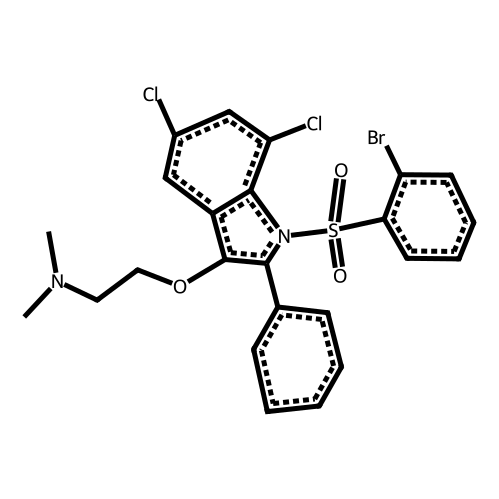 CN(C)CCOc1c(-c2ccccc2)n(S(=O)(=O)c2ccccc2Br)c2c(Cl)cc(Cl)cc12